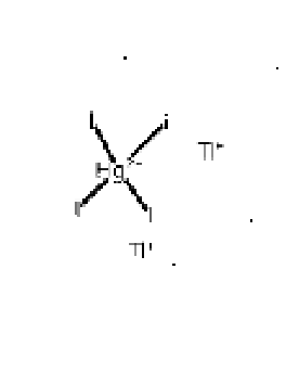 [I][Hg-2]([I])([I])[I].[Tl+].[Tl+]